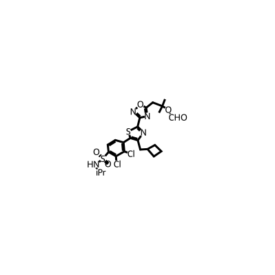 CC(C)NS(=O)(=O)c1ccc(-c2sc(-c3noc(CC(C)(C)OC=O)n3)nc2CC2CCC2)c(Cl)c1Cl